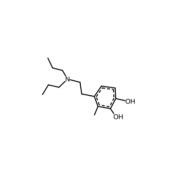 CCCN(CCC)CCc1ccc(O)c(O)c1C